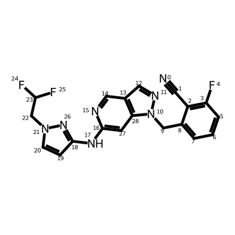 N#Cc1c(F)cccc1Cn1ncc2cnc(Nc3ccn(CC(F)F)n3)cc21